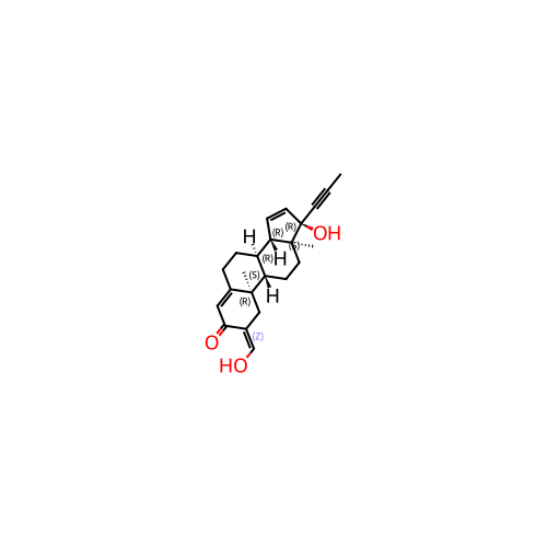 CC#C[C@@]1(O)C=C[C@H]2[C@@H]3CCC4=CC(=O)/C(=C\O)C[C@]4(C)[C@H]3CC[C@@]21C